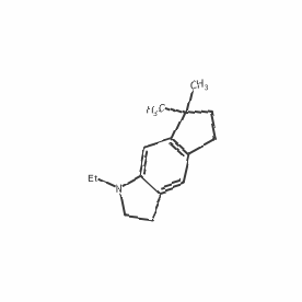 CCN1CCc2cc3c(cc21)C(C)(C)CC3